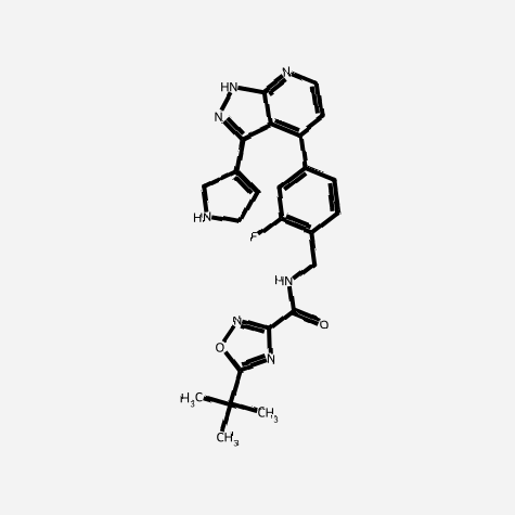 CC(C)(C)c1nc(C(=O)NCc2ccc(-c3ccnc4[nH]nc(C5=CCNC5)c34)cc2F)no1